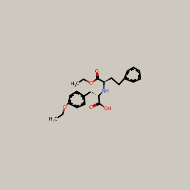 CCOC(=O)[C@@H](CCc1ccccc1)N[C@@H](Cc1ccc(OCC)cc1)C(=O)O